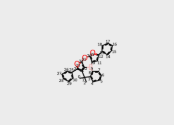 CC1(C)c2ccccc2B2c3cc(-c4ccccc4)oc3Oc3oc(-c4ccccc4)c1c32